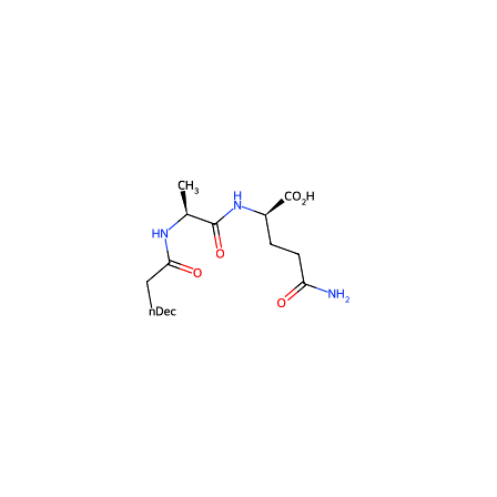 CCCCCCCCCCCC(=O)N[C@@H](C)C(=O)N[C@H](CCC(N)=O)C(=O)O